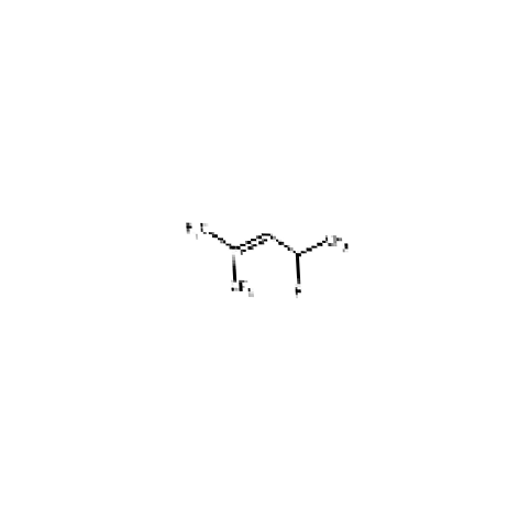 FC(C=C(C(F)(F)F)C(F)(F)F)C(F)(F)F